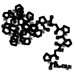 O=C(O)CNC(=O)[C@@H]1CCCN1C(=O)CNC(=O)[C@@H]1CCCN1C(=O)[C@@H]1CCCN1C(=O)CNC(=O)[C@@H]1CCCN1C(=O)[C@@H]1CCCN1C(=O)CNC(=O)[C@@H]1CCCN1C(=O)[C@@H]1CCCN1C(=O)CNC(=O)[C@@H]1CCCN1C(=O)[C@@H]1CCCN1C(=O)CNC(=O)[C@@H]1CCCN1C(=O)[C@@H]1CCCN1C(=O)CNC(=O)[C@@H]1CCCN1C(=O)[C@@H]1CCCN1C(=O)CNC(=O)[C@@H]1CCCN1C(=O)[C@@H]1CCCN1